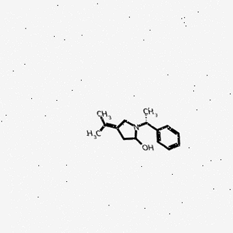 CC(C)=C1CC(O)N([C@H](C)c2ccccc2)C1